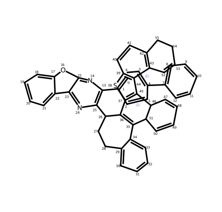 C=C(/C=C\C(=C/C)c1ccccc1)c1nc2oc3ccccc3c2nc1C1CCc2ccccc2C2=C1c1sc3ccc4c(c3c1C1C=CC=CC21)C=CCC4